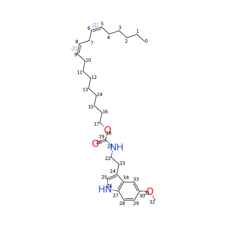 CCCCC/C=C\C/C=C\CCCCCCCCOC(=O)NCCc1c[nH]c2ccc(OC)cc12